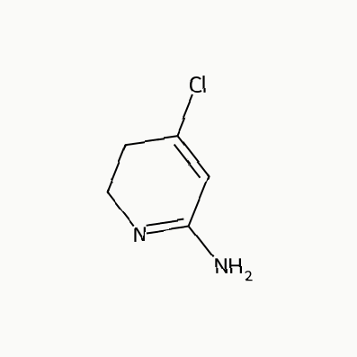 NC1=NCCC(Cl)=C1